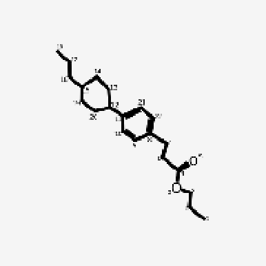 CCCOC(=O)CCc1ccc(C2CCC(CCC)CC2)cc1